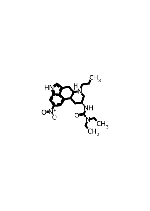 CCCN1C[C@@H](NC(=O)N(CC)CC)CC2c3cc([N+](=O)[O-])cc4[nH]cc(c34)C[C@H]21